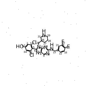 Oc1cc(Cl)c(-c2nc3cnc(NCc4ccc(F)c(F)c4)nc3n2CC2CCCNC2)c(Cl)c1